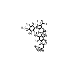 [2H]c1c([2H])c(-n2nc(C(N)=O)c3c2C(=O)N(c2c([2H])c([2H])c(N4CC([2H])([2H])C([2H])([2H])CC4=O)c([2H])c2[2H])C([2H])([2H])C3)c([2H])c([2H])c1OC